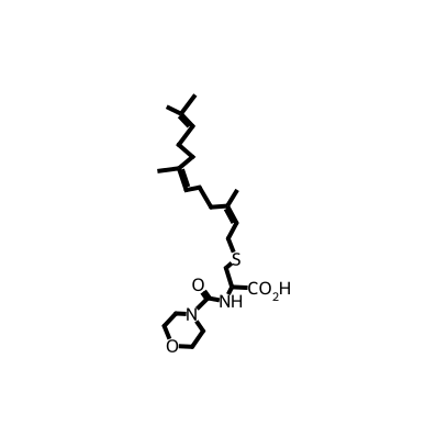 CC(C)=CCCC(C)=CCCC(C)=CCSCC(NC(=O)N1CCOCC1)C(=O)O